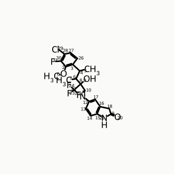 COc1c(C(C)C(C)C(O)(C=Nc2ccc3c(c2)CC(=O)N3)C(F)(F)F)ccc(Cl)c1F